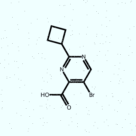 O=C(O)c1nc(C2CCC2)ncc1Br